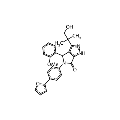 COc1ccccc1C1c2c(C(C)(C)CO)n[nH]c2C(=O)N1c1ccc(-c2ccco2)cc1